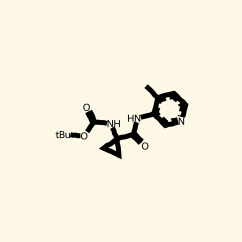 Cc1ccncc1NC(=O)C1(NC(=O)OC(C)(C)C)CC1